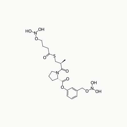 C[C@H](CSC(=O)CCCON(O)O)C(=O)N1CCC[C@H]1C(=O)Oc1cccc(CON(O)O)c1